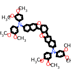 COc1ccc(N(c2ccc(OC)c(OC)c2)c2ccc3cc4c(cc3c2)oc2c4ccc3oc4cc5cc(N(c6ccc(OC)c(OC)c6)c6ccc(OC)c(OC)c6)ccc5cc4c32)cc1OC